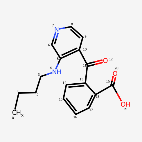 CCCCNc1cnccc1C(=O)c1ccccc1C(=O)O